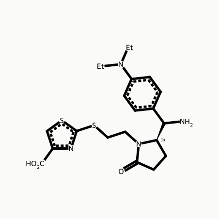 CCN(CC)c1ccc(C(N)[C@H]2CCC(=O)N2CCSc2nc(C(=O)O)cs2)cc1